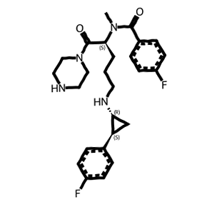 CN(C(=O)c1ccc(F)cc1)[C@@H](CCCN[C@@H]1C[C@H]1c1ccc(F)cc1)C(=O)N1CCNCC1